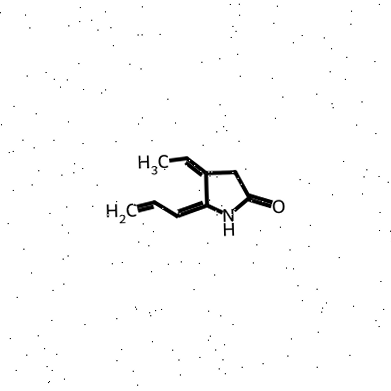 C=C/C=C1/NC(=O)C/C1=C/C